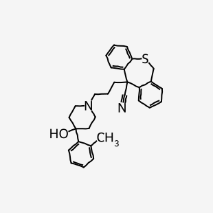 Cc1ccccc1C1(O)CCN(CCCC2(C#N)c3ccccc3CSc3ccccc32)CC1